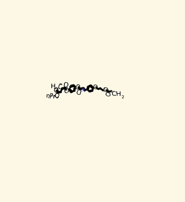 C=CC(=O)OCCCOc1ccc(/C=C/C(=O)Oc2ccc(OC(=O)C(=C)CC(=O)OCCC)cc2)cc1